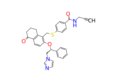 C#CCNC(=O)c1ccc(SCc2c(O[C@H](Cn3ccnc3)c3ccccc3)ccc3c2CCCC3=O)cc1